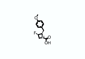 COc1ccc(C[C@@H]2[C@H](F)CN2C(=O)O)cc1